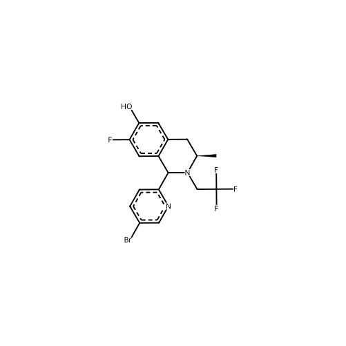 C[C@@H]1Cc2cc(O)c(F)cc2C(c2ccc(Br)cn2)N1CC(F)(F)F